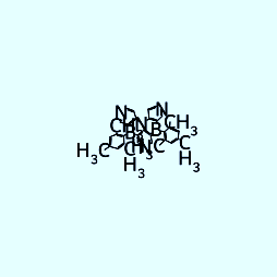 Cc1cc(C)c(B2c3cnccc3N3c4ccncc4B(c4c(C)cc(C)cc4C)c4cncc2c43)c(C)c1